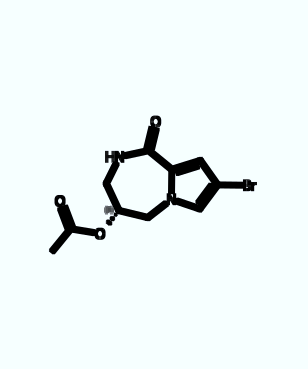 CC(=O)O[C@@H]1CNC(=O)c2cc(Br)cn2C1